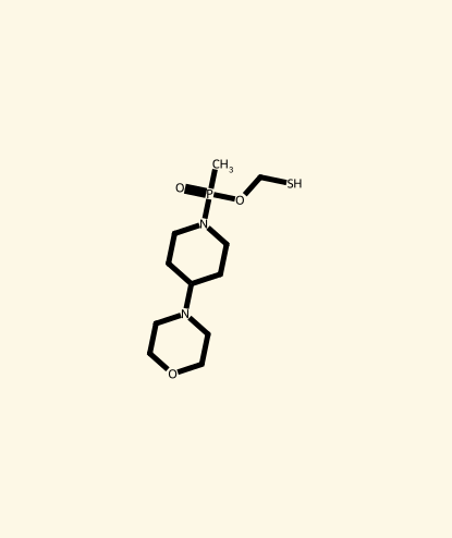 CP(=O)(OCS)N1CCC(N2CCOCC2)CC1